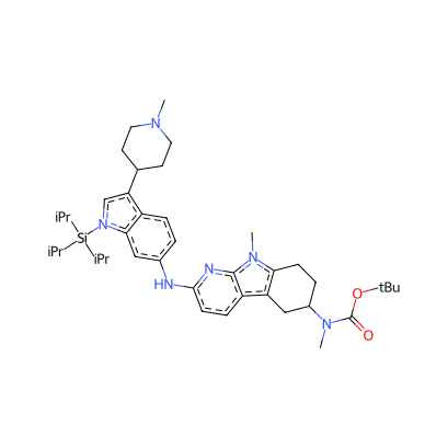 CC(C)[Si](C(C)C)(C(C)C)n1cc(C2CCN(C)CC2)c2ccc(Nc3ccc4c5c(n(C)c4n3)CCC(N(C)C(=O)OC(C)(C)C)C5)cc21